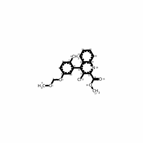 COCOc1ccc(C)c(-c2c(Cl)c(C(=O)OC)nc3ccccc23)c1